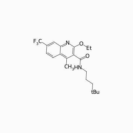 CCOc1nc2cc(C(F)(F)F)ccc2c(C)c1C(=O)NCCCC(C)(C)C